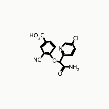 N#Cc1cc(C(=O)O)ccc1OC(C(N)=O)c1ccc(Cl)cn1